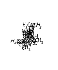 CCC(=O)OC(CC)CC(=O)OC1C(NC(=O)CC(C)OC(C)=O)C(OCC2OC(O)C(NC(=O)CC(CC)OC(C)=O)C(OC(=O)CC(O)CC)C2O)OC(CO)C1O[PH](O)(O)O